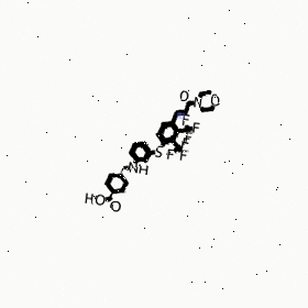 O=C(/C=C/c1ccc(Sc2cccc(NC[C@H]3CC[C@H](C(=O)O)CC3)c2)c(C(F)(F)F)c1C(F)(F)F)N1CCOCC1